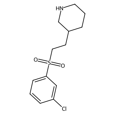 O=S(=O)(CCC1CCCNC1)c1cccc(Cl)c1